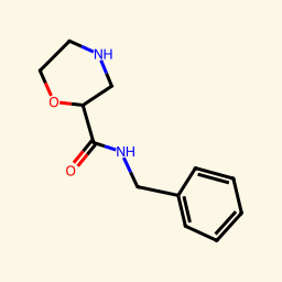 O=C(NCc1ccccc1)C1CNCCO1